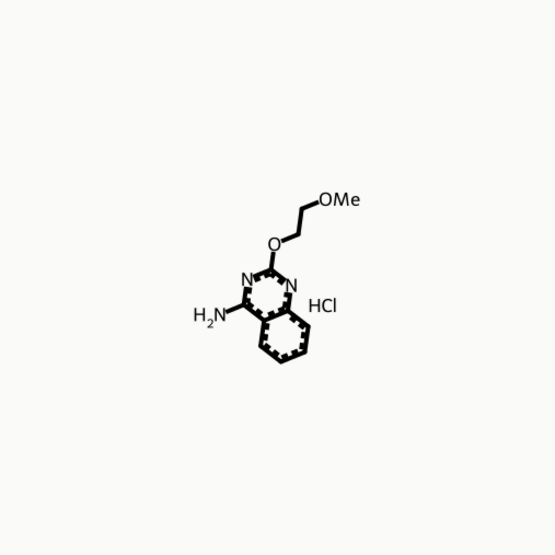 COCCOc1nc(N)c2ccccc2n1.Cl